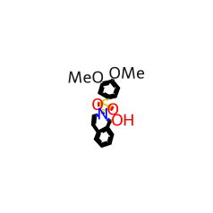 COc1ccc(S(=O)(=O)N2C=Cc3ccccc3C2O)cc1OC